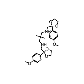 COc1ccc(C2(CNCC(C)(C)CNCC3(c4ccc(OC)cc4)OCCO3)OCCO2)cc1